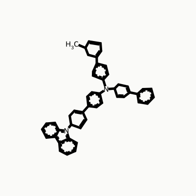 CC1C=CC=C(c2ccc(N(c3ccc(C4=CCC(n5c6ccccc6c6ccccc65)C=C4)cc3)C3C=CC(c4ccccc4)=CC3)cc2)C1